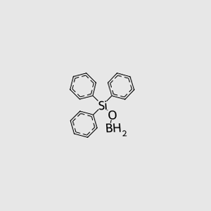 BO[Si](c1ccccc1)(c1ccccc1)c1ccccc1